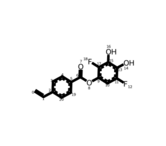 C=Cc1ccc(C(=O)Oc2cc(F)c(O)c(O)c2F)cc1